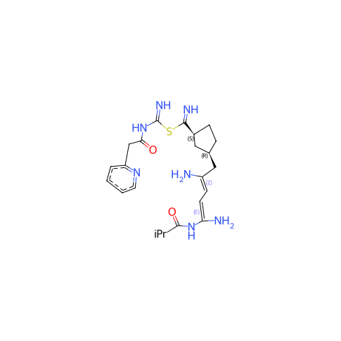 CC(C)C(=O)N/C(N)=C/C=C(\N)C[C@@H]1CC[C@H](C(=N)SC(=N)NC(=O)Cc2ccccn2)C1